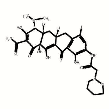 CN(C)[C@@H]1C(O)=C(C(N)=O)C(=O)[C@@]2(O)C(O)=C3C(=O)c4c(O)c(NC(=O)CN5CCCCO5)cc(I)c4C[C@H]3C[C@@H]12